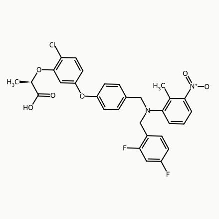 Cc1c(N(Cc2ccc(Oc3ccc(Cl)c(O[C@H](C)C(=O)O)c3)cc2)Cc2ccc(F)cc2F)cccc1[N+](=O)[O-]